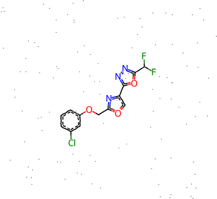 FC(F)c1nnc(-c2coc(COc3cccc(Cl)c3)n2)o1